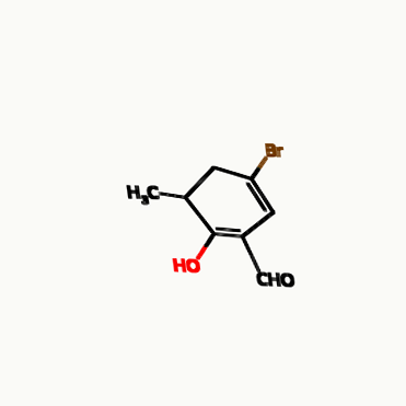 CC1CC(Br)=CC(C=O)=C1O